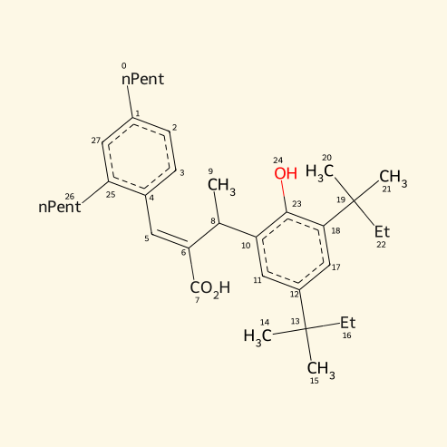 CCCCCc1ccc(C=C(C(=O)O)C(C)c2cc(C(C)(C)CC)cc(C(C)(C)CC)c2O)c(CCCCC)c1